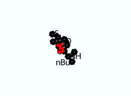 CCCCc1ccccc1-c1ccc(-c2cc(-c3ccc4oc5cccc(-c6nc(-c7ccccc7-c7cccc8sc9ccccc9c78)nc(C7C=CC=CC7)n6)c5c4c3)c3c(c2)oc2ccccc23)cc1Nc1ccccc1